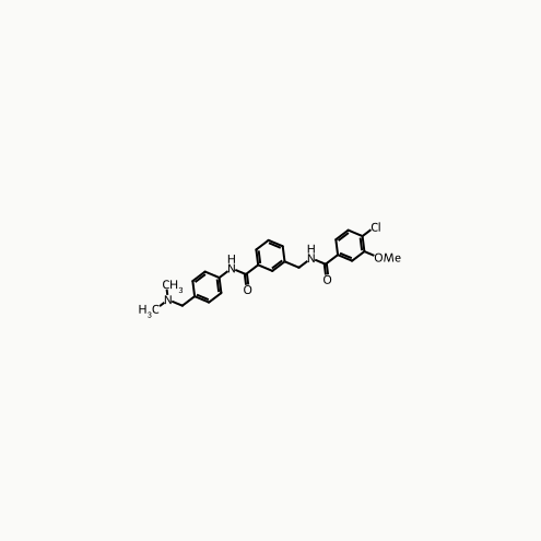 COc1cc(C(=O)NCc2cccc(C(=O)Nc3ccc(CN(C)C)cc3)c2)ccc1Cl